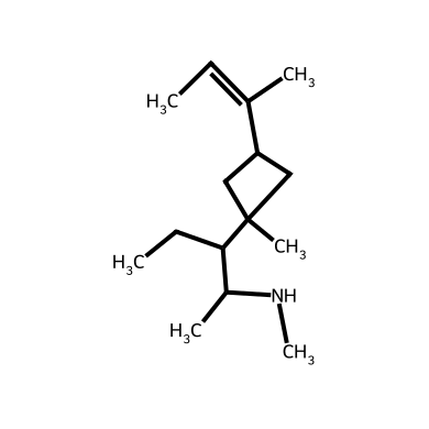 C/C=C(/C)C1CC(C)(C(CC)C(C)NC)C1